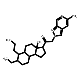 CCCC1C(CC)CCC2C1CCC1(C)C(C(=O)Cn3cc4cc(C)ncc4n3)CCC21